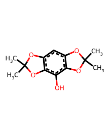 CC1(C)Oc2cc3c(c(O)c2O1)OC(C)(C)O3